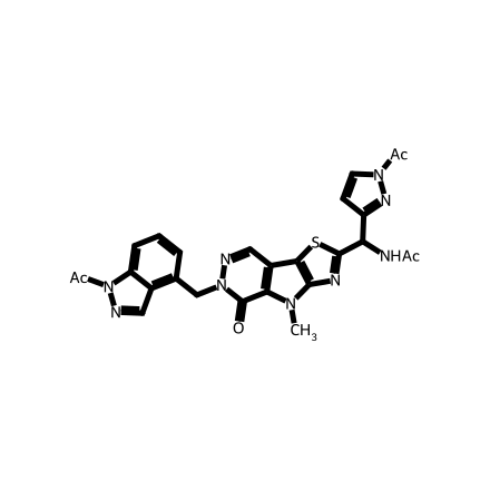 CC(=O)NC(c1ccn(C(C)=O)n1)c1nc2c(s1)c1cnn(Cc3cccc4c3cnn4C(C)=O)c(=O)c1n2C